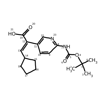 CC(C)(C)OC(=O)Nc1ccc(/C(=C\C2CCCC2)C(=O)O)cn1